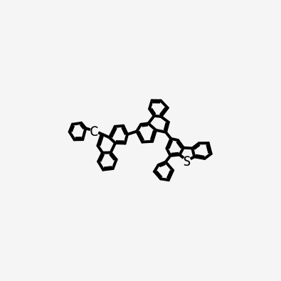 c1ccc(Cc2cc3ccccc3c3cc(-c4ccc5c(-c6cc(-c7ccccc7)c7sc8ccccc8c7c6)cc6ccccc6c5c4)ccc23)cc1